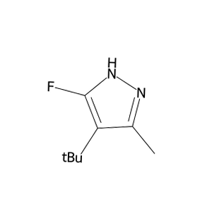 Cc1n[nH]c(F)c1C(C)(C)C